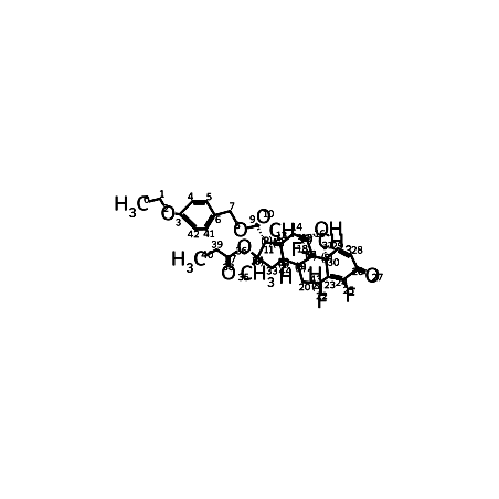 CCOc1ccc(COC(=O)[C@@H]2[C@@]3(C)C[C@H](O)[C@@]4(F)[C@@H](C[C@H](F)C5=C(F)C(=O)C=C[C@@]54C)[C@@H]3C[C@]2(C)OC(=O)CC)cc1